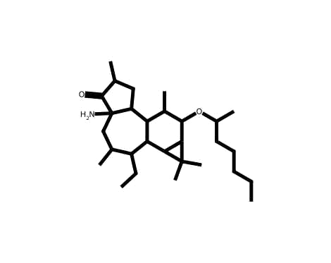 CCCCCC(C)OC1C(C)C2C(C(CC)C(C)CC3(N)C(=O)C(C)CC23)C2C1C2(C)C